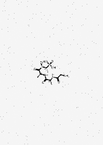 CCN(C(=O)[C@H](C)NC(=O)[C@H](C)NC(=O)CN)[C@@H](C)P(=O)(O)O